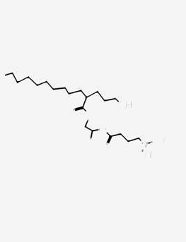 CCCCCCCCCCC(CCCC)C(=O)OCC(C)OC(=O)CCCN(C)C